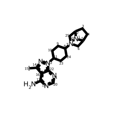 CN1C2CCC1CN(C1CCC(n3nc(I)c4c(N)ncnc43)CC1)C2